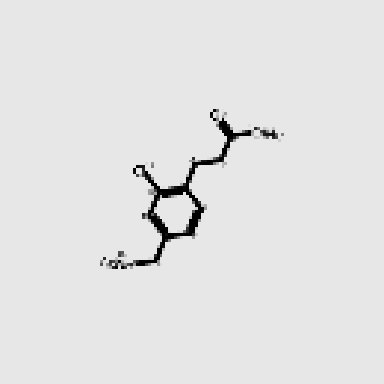 COC(=O)CCc1ccc(CNC(C)=O)cc1Cl